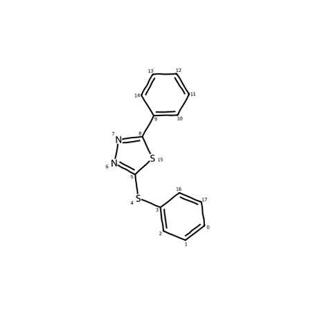 c1ccc(Sc2nnc(-c3ccccc3)s2)cc1